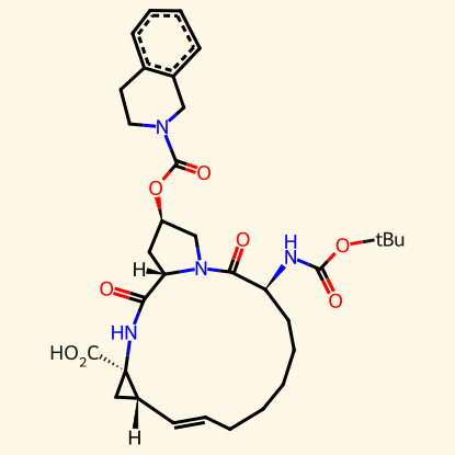 CC(C)(C)OC(=O)N[C@H]1CCCCC/C=C/[C@@H]2C[C@@]2(C(=O)O)NC(=O)[C@@H]2C[C@@H](OC(=O)N3CCc4ccccc4C3)CN2C1=O